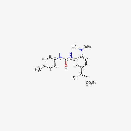 CCCCN(CCCC)c1ccc(C(C)=CC(=O)OCC)cc1NC(=O)Nc1ccc(C)cc1